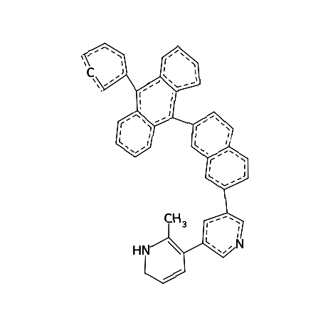 CC1=C(c2cncc(-c3ccc4ccc(-c5c6ccccc6c(-c6ccccc6)c6ccccc56)cc4c3)c2)C=CCN1